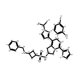 O=S(=O)(N[C@H]1CC2=C(c3ccn(C(F)F)n3)[C@H](c3ccc(F)cc3Cl)N=C(c3nccs3)N2C1)C1CC(OCc2ccccc2)C1